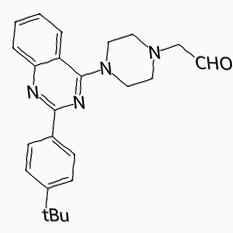 CC(C)(C)c1ccc(-c2nc(N3CCN(CC=O)CC3)c3ccccc3n2)cc1